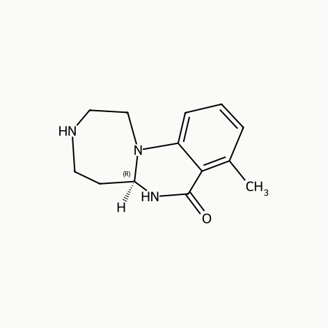 Cc1cccc2c1C(=O)N[C@H]1CCNCCN21